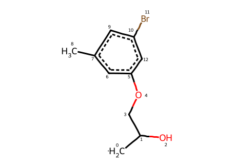 [CH2]C(O)COc1cc(C)cc(Br)c1